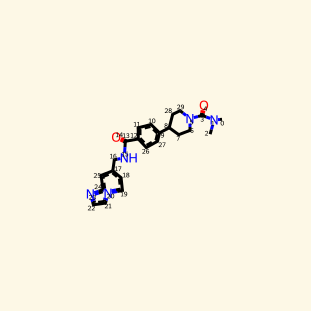 CN(C)C(=O)N1CCC(c2ccc(C(=O)NCc3ccn4ccnc4c3)cc2)CC1